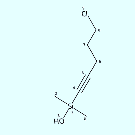 C[Si](C)(O)C#CCCCCl